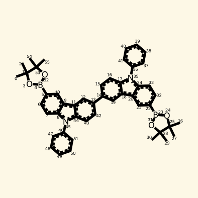 CC1(C)OB(c2ccc3c(c2)c2cc(-c4ccc5c(c4)c4cc(B6OC(C)(C)C(C)(C)O6)ccc4n5-c4ccccc4)ccc2n3-c2ccccc2)OC1(C)C